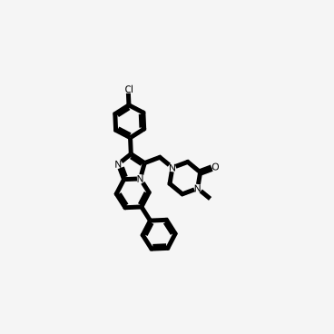 CN1CCN(Cc2c(-c3ccc(Cl)cc3)nc3ccc(-c4ccccc4)cn23)CC1=O